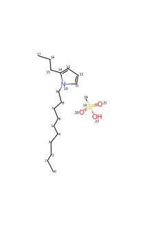 CCCCCCCCCCn1cccc1CCC.CS(=O)(=O)O